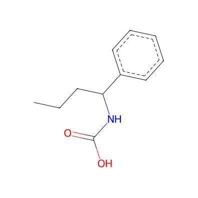 CCCC(NC(=O)O)c1ccccc1